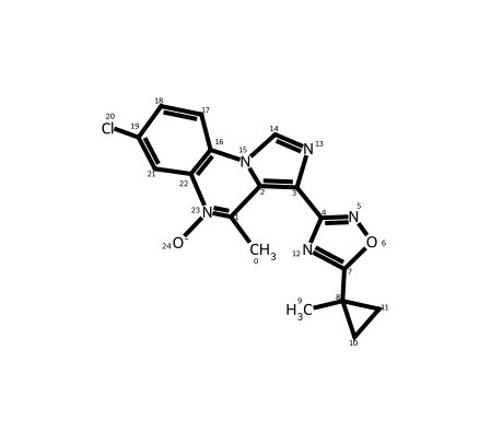 Cc1c2c(-c3noc(C4(C)CC4)n3)ncn2c2ccc(Cl)cc2[n+]1[O-]